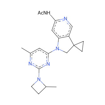 CC(=O)Nc1cc2c(cn1)C1(CC1)CN2c1cc(C)nc(N2CCC2C)n1